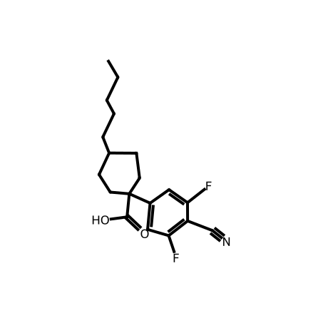 CCCCCC1CCC(C(=O)O)(c2cc(F)c(C#N)c(F)c2)CC1